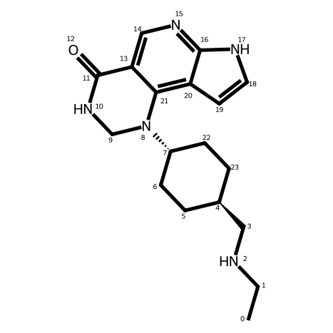 CCNC[C@H]1CC[C@H](N2CNC(=O)c3cnc4[nH]ccc4c32)CC1